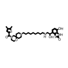 Cc1cc(C(=O)N2CCOC3(CCN(CCCCCCCCCNCC(O)c4ccc(O)c5[nH]c(=O)sc45)CC3)C2)sc1C